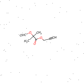 C#CCOC(=O)C(C)(C)O[C]=O